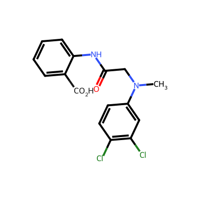 CN(CC(=O)Nc1ccccc1C(=O)O)c1ccc(Cl)c(Cl)c1